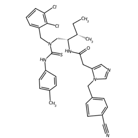 CC[C@H](C)[C@@H](CN(Cc1cccc(Cl)c1Cl)C(=S)Nc1ccc(C)cc1)NC(=O)Cc1cncn1Cc1ccc(C#N)cc1